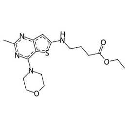 CCOC(=O)CCCNc1cc2nc(C)nc(N3CCOCC3)c2s1